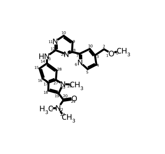 COCc1ccnc(-c2ccnc(Nc3ccc4cc(C(=O)N(C)C)n(C)c4c3)n2)c1